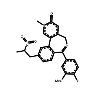 COc1cc(C2=NCc3cc(=O)n(C)cc3-c3cc(CC(C)[SH](=O)=O)ccc32)ccc1F